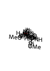 COc1ccc(CNS(=O)(=O)c2c(S(=O)(=O)C3CNC3)ccc(-c3cccc4nc(N)nn34)c2-c2nnn(Cc3ccc(OC)cc3)n2)cc1